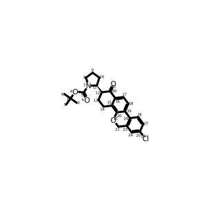 CC(C)(C)OC(=O)N1CCC[C@H]1C1CCc2c(ccc3c2OCc2cc(Cl)ccc2-3)C1=O